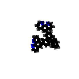 c1cnc2c(c1)cc(-c1ccc(C3(c4ccc(-c5cc6cccnc6c6ncccc56)cc4)C4CC5CC(C4)CC3C5)cc1)c1cccnc12